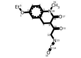 CCOc1ccc2c(c1)CC(C(=O)CN=C=O)C(=O)N2C